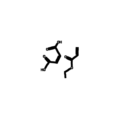 C=CC(=O)OCC.O=C(O)/C=C\C(=O)O